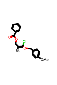 CCC(COC(=O)c1ccccc1)=C(Cl)OCc1ccc(OC)cc1